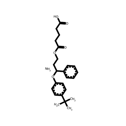 CC(C)(C)c1ccc(OC(CCOC(=O)CCCC(=O)O)c2ccccc2)cc1.N